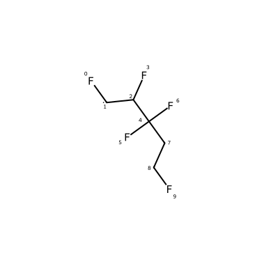 F[CH]C(F)C(F)(F)CCF